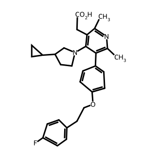 Cc1nc(C)c(-c2ccc(OCCc3ccc(F)cc3)cc2)c(N2CCC(C3CC3)C2)c1CC(=O)O